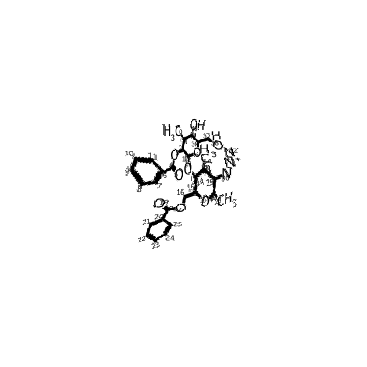 C[C@@H]1C(OC(=O)c2ccccc2)[C@H](O[C@@H]2C(COC(=O)c3ccccc3)O[C@H](C)C(N=[N+]=[N-])[C@H]2C)OC(CO)[C@H]1O